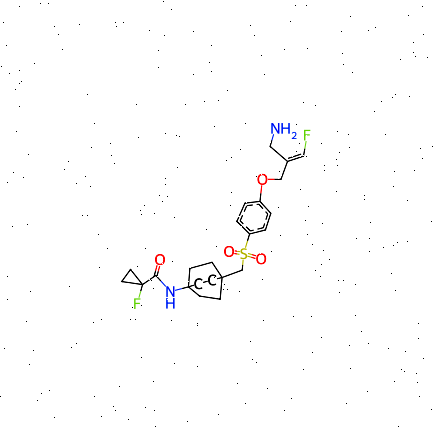 NC/C(=C\F)COc1ccc(S(=O)(=O)CC23CCC(NC(=O)C4(F)CC4)(CC2)CC3)cc1